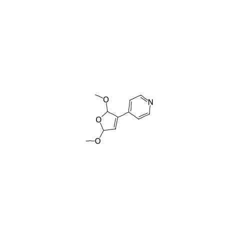 COC1C=C(c2ccncc2)C(OC)O1